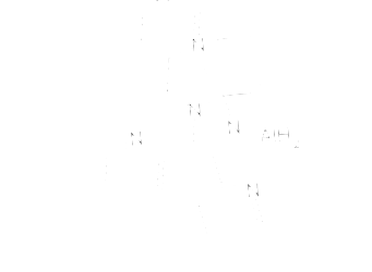 [AlH2][N](Cc1ccccn1)C1(N(Cc2ccccn2)Cc2ccccn2)CCCCC1